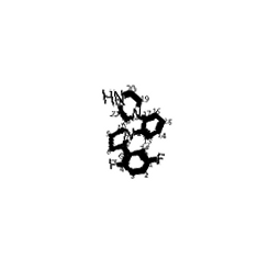 Fc1ccc(F)c(C2CCCN2c2c[c]ccc2N2CCNCC2)c1